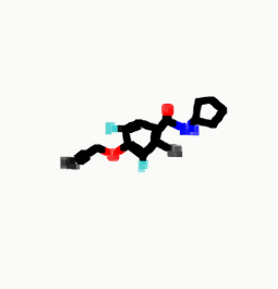 C#CCOc1c(F)cc(C(=O)NC2CCCC2)c(CC)c1F